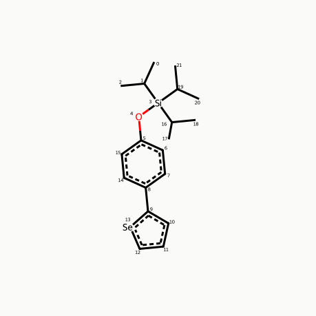 CC(C)[Si](Oc1ccc(-c2ccc[se]2)cc1)(C(C)C)C(C)C